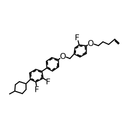 C=CCCCOc1ccc(COc2ccc(-c3ccc(C4CCC(C)CC4)c(F)c3F)cc2)cc1F